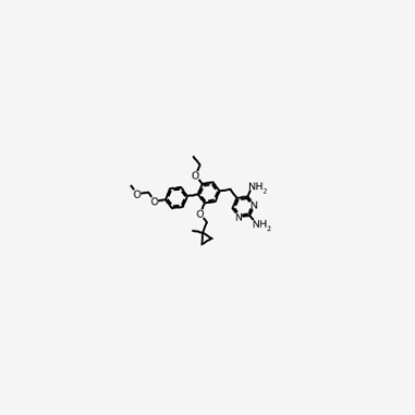 CCOc1cc(Cc2cnc(N)nc2N)cc(OCC2(C)CC2)c1-c1ccc(OCOC)cc1